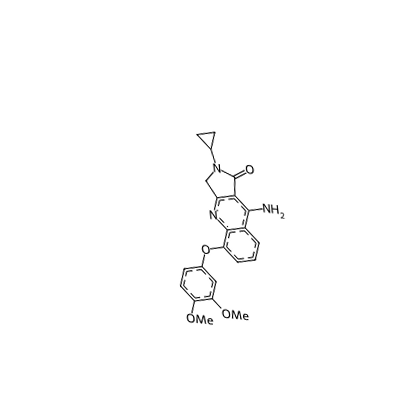 COc1ccc(Oc2cccc3c(N)c4c(nc23)CN(C2CC2)C4=O)cc1OC